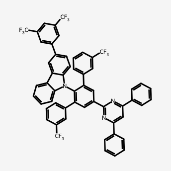 FC(F)(F)c1cccc(-c2cc(-c3nc(-c4ccccc4)cc(-c4ccccc4)n3)cc(-c3cccc(C(F)(F)F)c3)c2-n2c3ccccc3c3cc(-c4cc(C(F)(F)F)cc(C(F)(F)F)c4)ccc32)c1